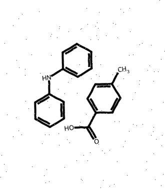 Cc1ccc(C(=O)O)cc1.c1ccc(Nc2ccccc2)cc1